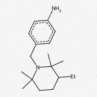 CCC1CCC(C)(C)N(Cc2ccc(N)cc2)C1(C)C